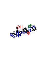 O=C(NCc1cccnc1C(F)(F)F)c1cccc(NCc2nnc(-c3ccncn3)n2CCCO)c1